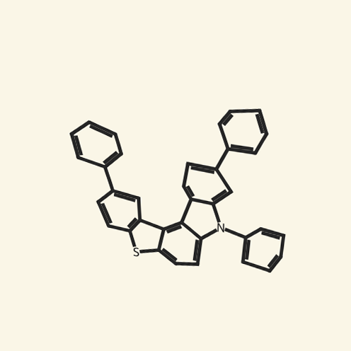 c1ccc(-c2ccc3sc4ccc5c(c6ccc(-c7ccccc7)cc6n5-c5ccccc5)c4c3c2)cc1